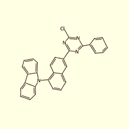 Clc1nc(-c2ccccc2)nc(-c2ccc3c(-n4c5ccccc5c5ccccc54)cccc3c2)n1